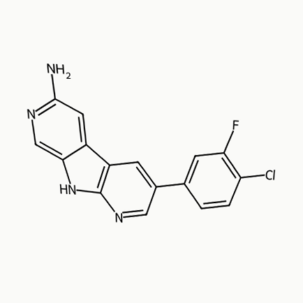 Nc1cc2c(cn1)[nH]c1ncc(-c3ccc(Cl)c(F)c3)cc12